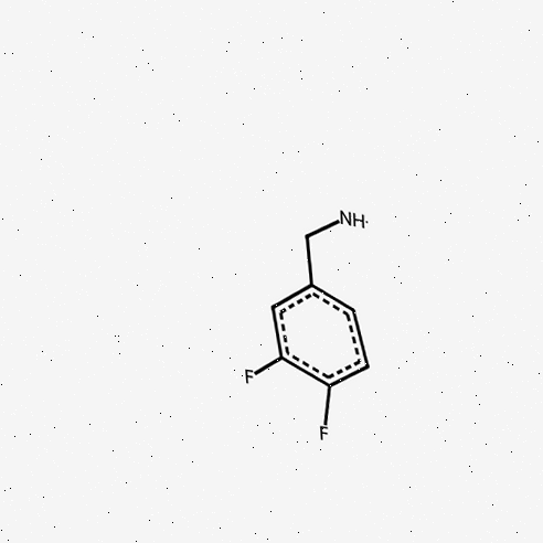 [NH]Cc1ccc(F)c(F)c1